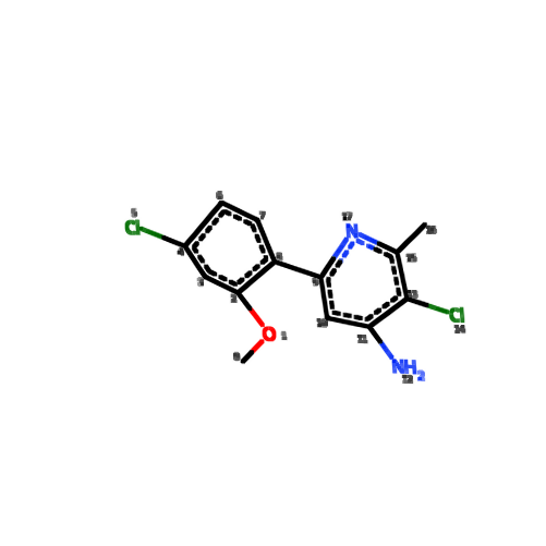 COc1cc(Cl)ccc1-c1cc(N)c(Cl)c(C)n1